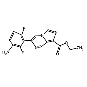 CCOC(=O)c1ncn2cc(-c3c(F)ccc(N)c3F)ncc12